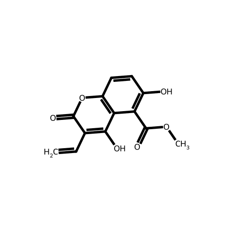 C=Cc1c(O)c2c(C(=O)OC)c(O)ccc2oc1=O